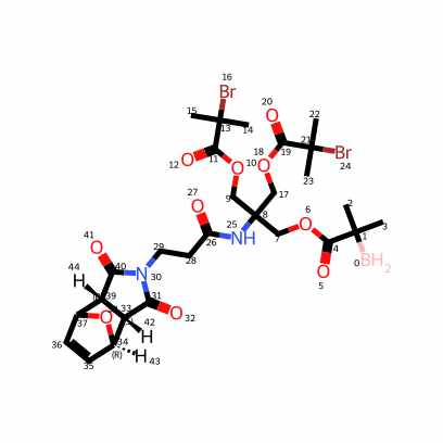 BC(C)(C)C(=O)OCC(COC(=O)C(C)(C)Br)(COC(=O)C(C)(C)Br)NC(=O)CCN1C(=O)[C@@H]2[C@H]3C=CC(O3)[C@@H]2C1=O